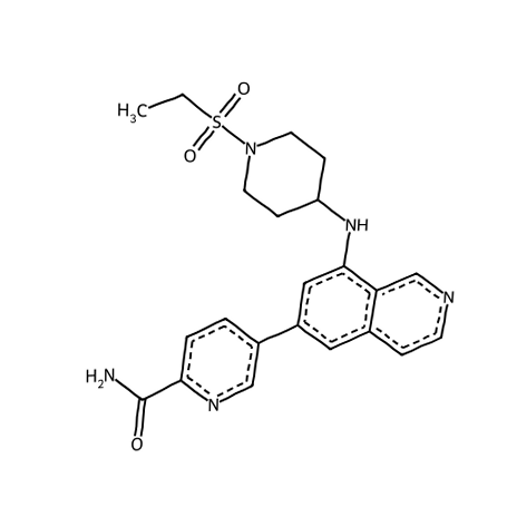 CCS(=O)(=O)N1CCC(Nc2cc(-c3ccc(C(N)=O)nc3)cc3ccncc23)CC1